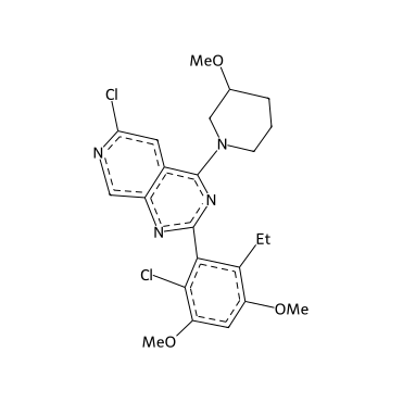 CCc1c(OC)cc(OC)c(Cl)c1-c1nc(N2CCCC(OC)C2)c2cc(Cl)ncc2n1